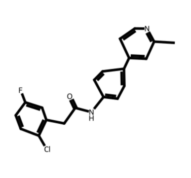 Cc1cc(-c2ccc(NC(=O)Cc3cc(F)ccc3Cl)cc2)ccn1